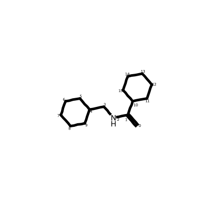 C=C(NCC1CCCCC1)C1CCCCC1